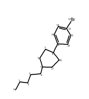 CCCCCC1CCC(c2ccc(Br)cc2)CC1